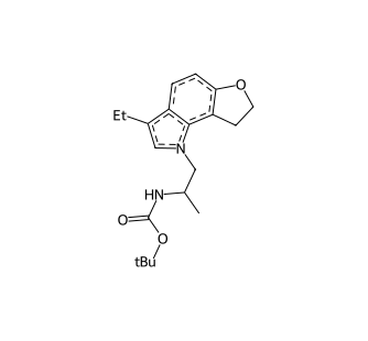 CCc1cn(CC(C)NC(=O)OC(C)(C)C)c2c3c(ccc12)OCC3